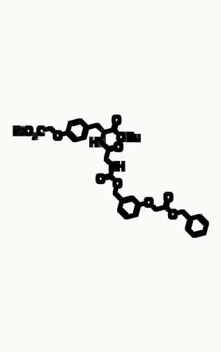 CCOC(=O)COc1ccc(C[C@H](NC(=O)CNC(=O)OCc2cccc(OCC(=O)OCc3ccccc3)c2)C(=O)OCC(C)C)cc1